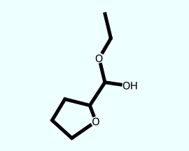 CCOC(O)C1CCCO1